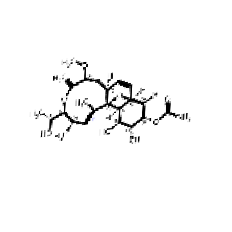 C=C1O[C@H]([C@@H](C)O)[C@H](C)/C=C(\C)[C@]23O[C@@H]4[C@H](C=C[C@@H]2C[C@@H]1OC)[C@H]3[C@H](O)[C@@H](C)[C@H]4OC(N)=O